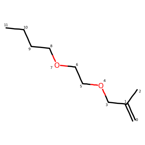 C=C(C)COCCOCCCC